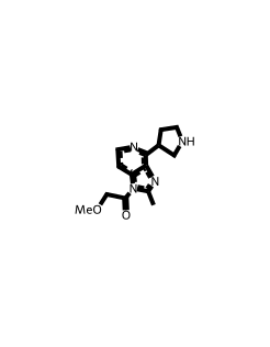 COCC(=O)n1c(C)nc2c(C3CCNC3)nccc21